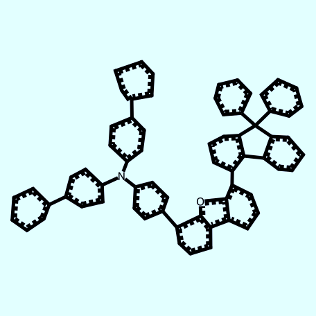 c1ccc(-c2ccc(N(c3ccc(-c4ccccc4)cc3)c3ccc(-c4cccc5c4oc4c(-c6cccc7c6-c6ccccc6C7(c6ccccc6)c6ccccc6)cccc45)cc3)cc2)cc1